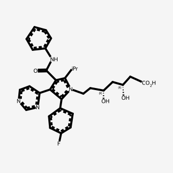 CC(C)c1c(C(=O)Nc2ccccc2)c(-c2ccncn2)c(-c2ccc(F)cc2)n1CC[C@@H](O)C[C@@H](O)CC(=O)O